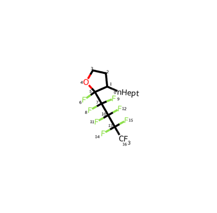 CCCCCCCC1CCOC1(F)C(F)(F)C(F)(F)C(F)(F)C(F)(F)F